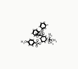 Cc1ccc(S(=O)(=O)O[C@H]2C[C@@H](C(C)(C)C)C[C@@](O[SiH](c3ccccc3)c3ccccc3)(C(=O)O)C2)cc1